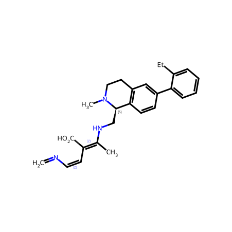 C=N/C=C\C(C(=O)O)=C(/C)NC[C@@H]1c2ccc(-c3ccccc3CC)cc2CCN1C